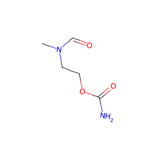 CN(C=O)CCOC(N)=O